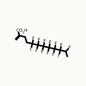 C=C(CCC(F)(F)C(F)(F)C(F)(F)C(F)(F)C(F)(F)C(F)(F)C(C)F)C(=O)O